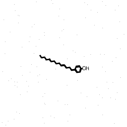 CCCCCCCCC/C=C/CCCc1ccc(O)cc1